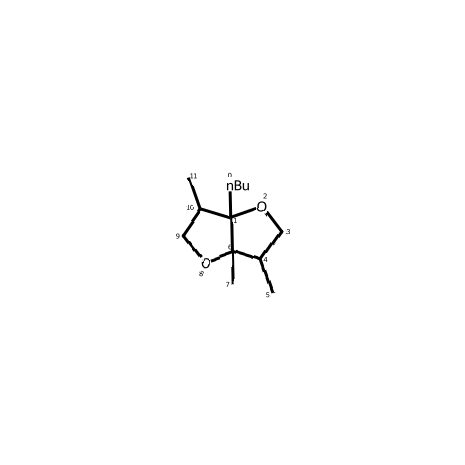 CCCCC12OCC(C)C1(C)OCC2C